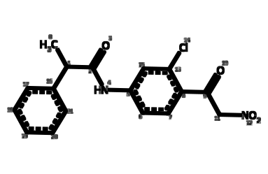 CC(C(=O)Nc1ccc(C(=O)C[N+](=O)[O-])c(Cl)c1)c1ccccc1